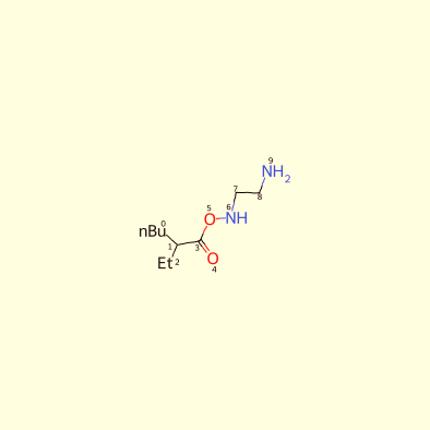 CCCCC(CC)C(=O)ONCCN